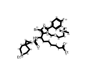 CCC(=O)CCCCCC(NC(=O)[C@H]1CC12CCN(CC)CC2)c1c(Br)nc(-c2ccc(F)cc2)n1COCC[Si](C)(C)C